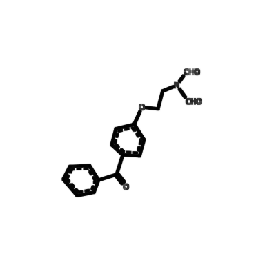 O=CN(C=O)CCOc1ccc(C(=O)c2ccccc2)cc1